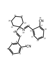 N#Cc1ccccc1C=NC1(N=Cc2ccccc2C#N)CCCCC1